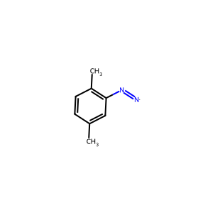 Cc1ccc(C)c(N=[N])c1